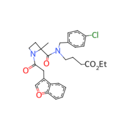 CCOC(=O)CCCN(Cc1ccc(Cl)cc1)C(=O)C1(C)CCN1C(=O)Cc1coc2ccccc12